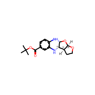 CC(C)(C)OC(=O)c1ccc(N)c(N[C@@H]2CO[C@H]3OCC[C@H]32)c1